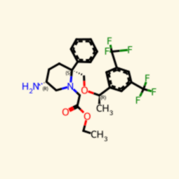 CCOC(=O)CN1C[C@H](N)CC[C@@]1(CO[C@H](C)c1cc(C(F)(F)F)cc(C(F)(F)F)c1)c1ccccc1